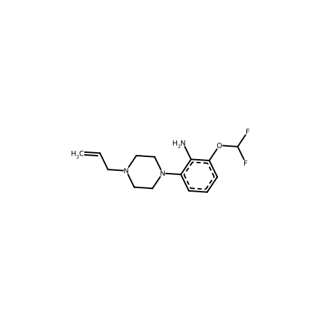 C=CCN1CCN(c2cccc(OC(F)F)c2N)CC1